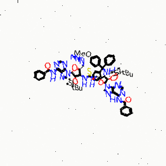 COc1ccc(C(N[C@H]2[C@@H](O[Si](C)(C)C(C)(C)C)[C@H](n3cnc4c(NC(=O)c5ccccc5)ncnc43)O[C@@H]2CNC(=S)N[C@H]2[C@@H](O[Si](C)(C)C(C)(C)C)[C@H](n3cnc4c(NC(=O)c5ccccc5)ncnc43)O[C@@H]2CN=[N+]=[N-])(c2ccccc2)c2ccccc2)cc1